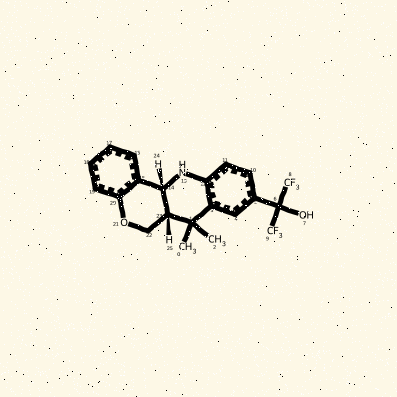 CC1(C)c2cc(C(O)(C(F)(F)F)C(F)(F)F)ccc2N[C@H]2c3ccccc3OC[C@H]21